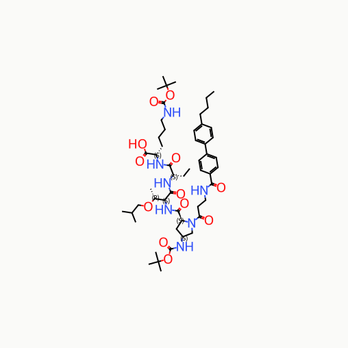 CCCCc1ccc(-c2ccc(C(=O)NCCC(=O)N3C[C@@H](NC(=O)OC(C)(C)C)C[C@H]3C(=O)N[C@H](C(=O)N[C@@H](CC)C(=O)N[C@@H](CCCCNC(=O)OC(C)(C)C)C(=O)O)[C@@H](C)OCC(C)C)cc2)cc1